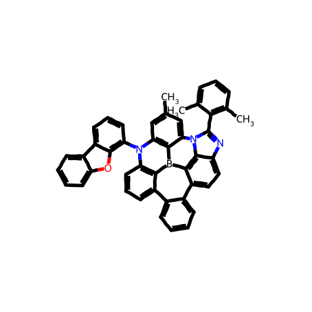 Cc1cc2c3c(c1)-n1c(-c4c(C)cccc4C)nc4ccc5c(c41)B3c1c(cccc1N2c1cccc2c1oc1ccccc12)-c1ccccc1-5